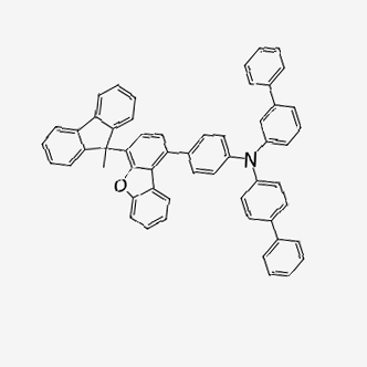 CC1(c2ccc(-c3ccc(N(c4ccc(-c5ccccc5)cc4)c4cccc(-c5ccccc5)c4)cc3)c3c2oc2ccccc23)c2ccccc2-c2ccccc21